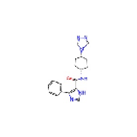 O=C(N[C@H]1CC[C@H](n2cnnc2)CC1)c1[nH]cnc1-c1ccccc1